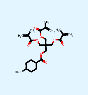 C=C(C)C(=O)OCC(COC(=O)C(=C)C)(COC(=O)C(=C)C)COC(=O)C1CCC(C(=O)O)CC1